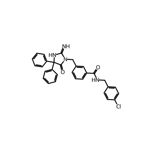 N=C1NC(c2ccccc2)(c2ccccc2)C(=O)N1Cc1cccc(C(=O)NCc2ccc(Cl)cc2)c1